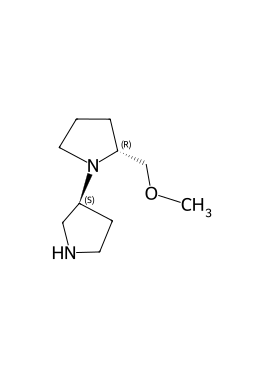 COC[C@H]1CCCN1[C@H]1CCNC1